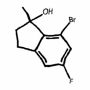 CC1(O)CCc2cc(F)cc(Br)c21